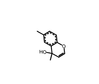 Cc1ccc2c(c1)C(C)(O)C=CO2